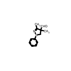 CC1=NN(c2ccccc2)CC1(C)C=O